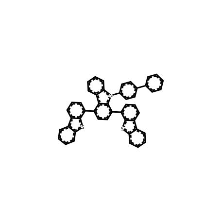 c1ccc(-c2ccc(-n3c4ccccc4c4c(-c5cccc6c5sc5ccccc56)ccc(-c5cccc6c5sc5ccccc56)c43)cc2)cc1